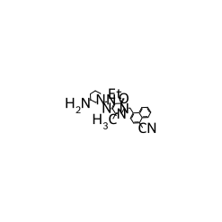 CCn1c(N2CCC[C@@H](N)C2)nc2c(C)nn(Cc3ccc(C#N)c4ccccc34)c(=O)c21